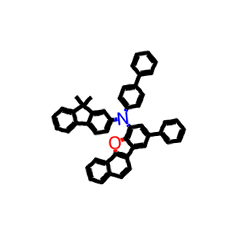 CC1(C)c2ccccc2-c2ccc(N(c3ccc(-c4ccccc4)cc3)c3cc(-c4ccccc4)cc4c3oc3c5ccccc5ccc43)cc21